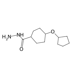 NNC(=O)C1CCC(OC2CCCC2)CC1